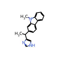 CC(c1ccc2c3ccccc3n(C)c2c1)c1c[nH]cn1